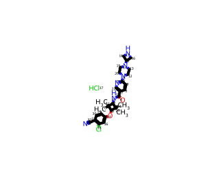 CC1(C)C(NC(=O)c2ccc(N3CCN(C4CNC4)CC3)nc2)C(C)(C)C1Oc1ccc(C#N)c(Cl)c1.Cl